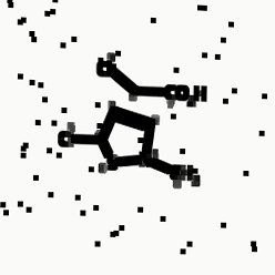 CN1C=CC(Cl)S1.O=C(O)CCl